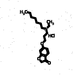 CCCCCCCN(CC)CCCOc1ccc2c(c1)OCC2=O.Cl